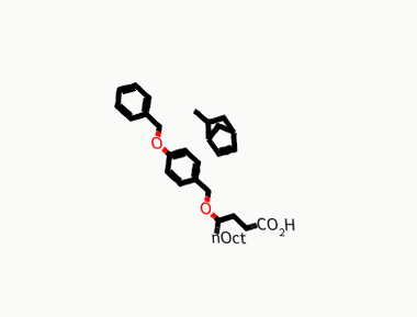 CC1CC2C=CC1C2.CCCCCCCCC(CCC(=O)O)OCc1ccc(OCc2ccccc2)cc1